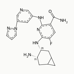 NC(=O)c1cc(F)c(N[C@@H]2CC3CC3C[C@@H]2N)nc1Nc1cncc(-n2cccn2)c1